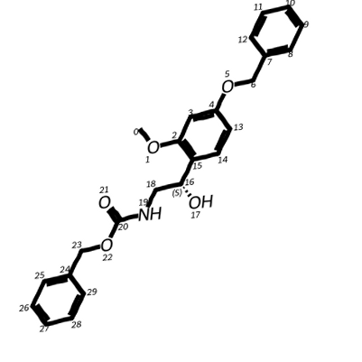 COc1cc(OCc2ccccc2)ccc1[C@H](O)CNC(=O)OCc1ccccc1